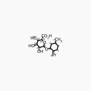 CC1CCC(C(C)C)C(OC2O[C@H](C(=O)O)[C@@H](O)[C@H](O)[C@H]2O)C1